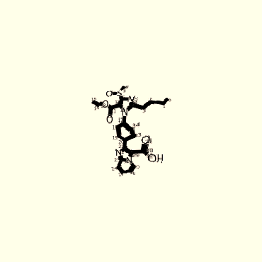 CCCCc1nc([S+](C)[O-])c(C(=O)OCC)n1-c1ccc(-c2nc3ccccn3c2C(=O)O)cc1